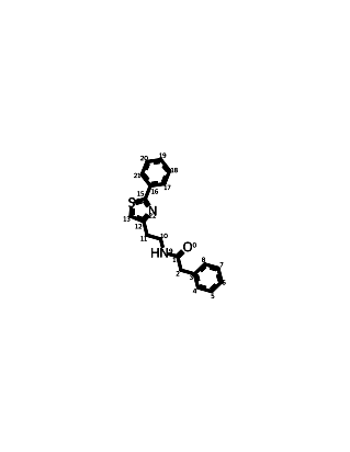 O=C(Cc1ccccc1)NCCc1csc(-c2ccccc2)n1